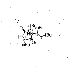 CCC(C)C(NC(=O)OC(C)(C)C)C(=O)NC(CC(C)(C)C)C(C)C